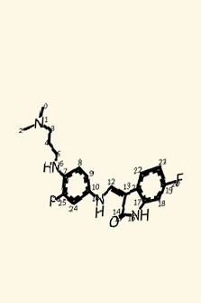 CN(C)CCCNc1ccc(NC=C2C(=O)Nc3cc(F)ccc32)cc1F